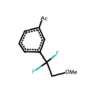 COCC(F)(F)c1cccc(C(C)=O)c1